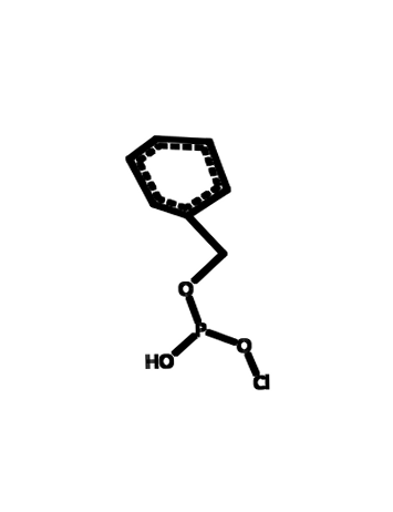 OP(OCl)OCc1ccccc1